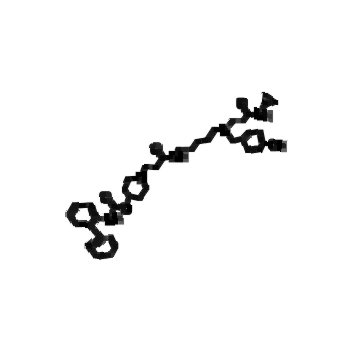 O=C(CCN1CCC(OC(=O)Nc2ccccc2-c2ccccc2)CC1)NCCCCCN(CCC(=O)NC1CC1)Cc1ccc(O)cc1